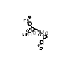 CCNC(=O)Cn1nc(-c2ccc(NC3CCC3)nc2)cc(CCNC(=O)Cn2nc(-c3ccc(N(C)C4CCC4)nc3)ccc2=O)c1=O